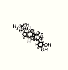 CN(C)S(=O)(=O)c1scc(Nc2c(N[C@@H](c3ccc(O)c(O)c3)C(F)(F)F)c(=O)c2=O)c1O